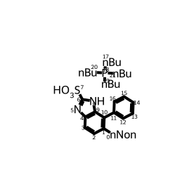 CCCCCCCCCc1ccc2nc(S(=O)(=O)O)[nH]c2c1-c1ccccc1.CCCC[P](CCCC)(CCCC)CCCC